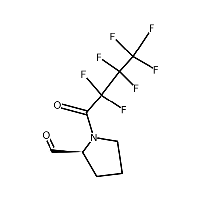 O=[C][C@@H]1CCCN1C(=O)C(F)(F)C(F)(F)C(F)(F)F